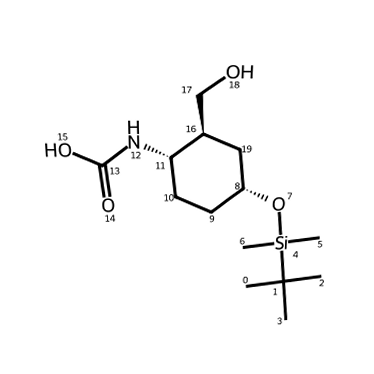 CC(C)(C)[Si](C)(C)O[C@@H]1CC[C@H](NC(=O)O)[C@@H](CO)C1